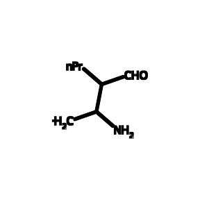 [CH2]C(N)C(C=O)CCC